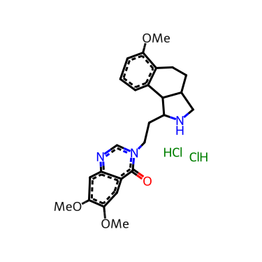 COc1cc2ncn(CCC3NCC4CCc5c(OC)cccc5C43)c(=O)c2cc1OC.Cl.Cl